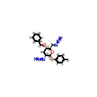 Cc1ccc(S[C@@H]2O[C@H](CN=[N+]=[N-])[C@@H](OCc3ccccc3)C[C@H]2N=[N+]=[N-])cc1